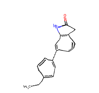 CCc1ccc(-c2ccc3c(c2)NC(=O)C3)cc1